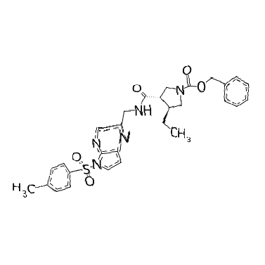 CC[C@@H]1CN(C(=O)OCc2ccccc2)C[C@H]1C(=O)NCc1cnc2c(ccn2S(=O)(=O)c2ccc(C)cc2)n1